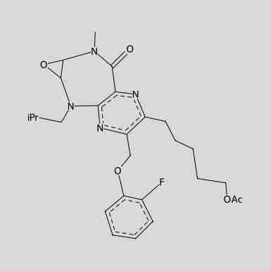 CC(=O)OCCCCCc1nc2c(nc1COc1ccccc1F)N(CC(C)C)C1OC1N(C)C2=O